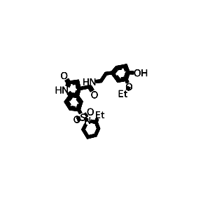 CCOc1cc(CCNC(=O)c2cc(=O)[nH]c3ccc(S(=O)(=O)N4CCCCC4CC)cc23)ccc1O